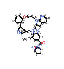 COc1cc(C(=O)N2CC3CCC2[C@@H]3N)cc2nc3n(c12)Cc1cncc(c1)-c1ccccc1OCCCn1c-3cc2cccnc21